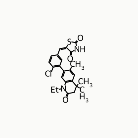 CCN1C(=O)CC(C)(C)c2cc(C)c(-c3cc(C=C4SC(=O)NC4=O)ccc3Cl)cc21